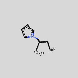 CCC(C)CC(C(=O)O)n1cccc1